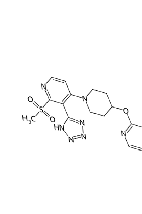 CS(=O)(=O)c1nccc(N2CCC(Oc3ncccn3)CC2)c1-c1nnn[nH]1